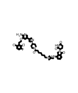 Nc1ncc(-c2cnn(C3CCN(C(=O)CCCCCCN4CC(CNc5cccc6c5CN([C@@H]5CCC(=O)NC5=O)C6=O)C4)CC3)c2)cc1OCCc1c(Cl)ccc(F)c1Cl